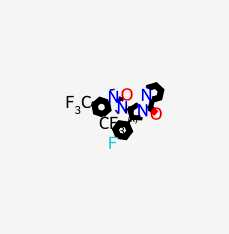 CN(C(=O)N(C)[C@@H]1CN(C(=O)c2ccccn2)C[C@H]1c1ccc(F)cc1)c1cc(C(F)(F)F)cc(C(F)(F)F)c1